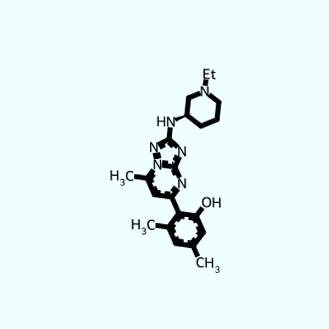 CCN1CCC[C@@H](Nc2nc3nc(-c4c(C)cc(C)cc4O)cc(C)n3n2)C1